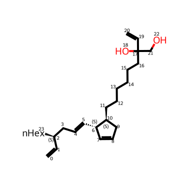 C=C[C@H](CC=C[C@H]1C=CC[C@@H]1CCCCCCC(O)(C=C)CO)CCCCCC